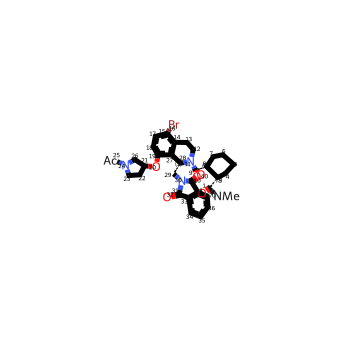 CNC(=O)[C@H]1CCCC[C@H]1C(=O)N1CCc2c(Br)ccc(OC3CCN(C(C)=O)C3)c2[C@H]1CN1C(=O)c2ccccc2C1=O